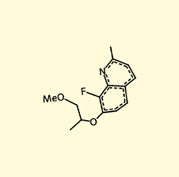 COCC(C)Oc1ccc2ccc(C)nc2c1F